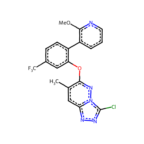 COc1ncccc1-c1ccc(C(F)(F)F)cc1Oc1nn2c(Cl)nnc2cc1C